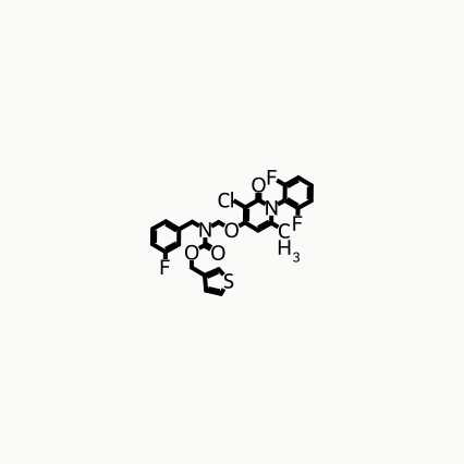 Cc1cc(OCN(Cc2cccc(F)c2)C(=O)OCc2ccsc2)c(Cl)c(=O)n1-c1c(F)cccc1F